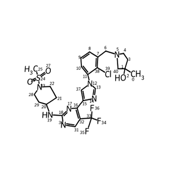 CC1(O)CCN(Cc2cccc(-n3cnc(-c4nc(NC5CCN(S(C)(=O)=O)CC5)ncc4C(F)(F)F)c3)c2Cl)C1